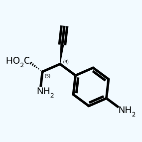 C#C[C@@H](c1ccc(N)cc1)[C@H](N)C(=O)O